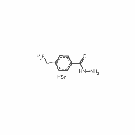 Br.NNC(=O)c1ccc(CP)cc1